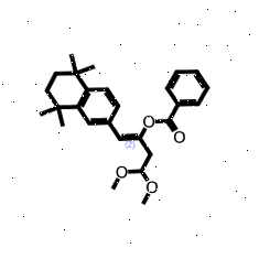 COC(C/C(=C/c1ccc2c(c1)C(C)(C)CCC2(C)C)OC(=O)c1ccccc1)OC